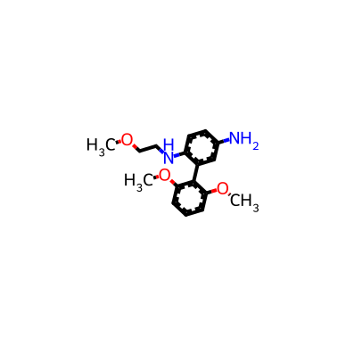 COCCNc1ccc(N)cc1-c1c(OC)cccc1OC